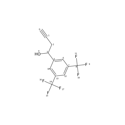 C#CCC(O)c1cc(C(F)(F)F)cc(C(F)(F)F)c1